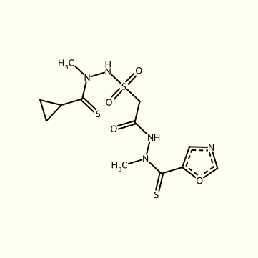 CN(NC(=O)CS(=O)(=O)NN(C)C(=S)C1CC1)C(=S)c1cnco1